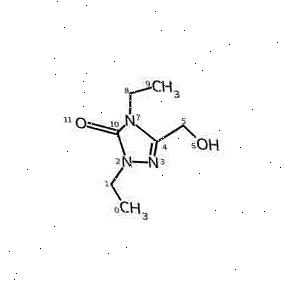 CCn1nc(CO)n(CC)c1=O